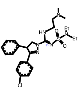 CCN(CC)S(=O)(=O)/N=C(\NCCN(C)C)N1CC(c2ccccc2)C(c2ccc(Cl)cc2)=N1